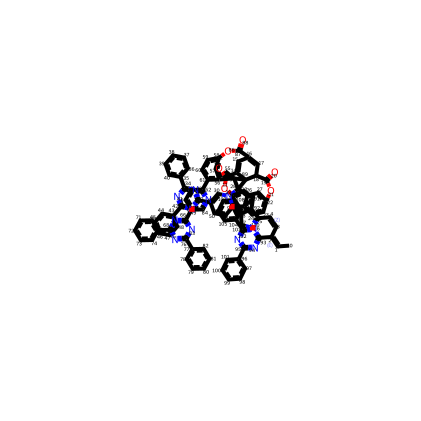 C/C=C(\C=C/C1=NCc2cc(OC(=O)C3=CC4=CC5C(=O)Oc6ccc7c(c6)C6(N8C=C(c9nc(-c%10ccccc%10)nc(-c%10ccccc%10)n9)C=CC78C)C(C)(c7cc(ccc7-c7ccc(-c8nc(-c9ccccc9)nc(-c9ccccc9)n8)cn7)OC4=O)C356)ccc21)c1nc(-c2ccccc2)nc(-c2ccccc2)n1